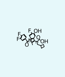 Cc1c([C@H](CC2CCC2)C(=O)O)c2cc(O)c(F)cc2n1C(=O)c1ccc(F)c(F)c1